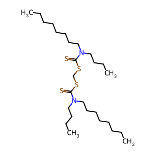 CCCCCCCCN(CCCC)C(=S)SCSC(=S)N(CCCC)CCCCCCCC